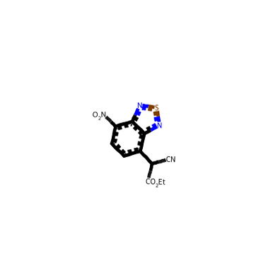 CCOC(=O)C(C#N)c1ccc([N+](=O)[O-])c2nsnc12